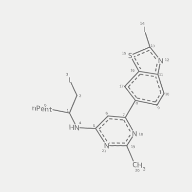 CCCCCC(CI)Nc1cc(-c2ccc3nc(I)sc3c2)nc(C)n1